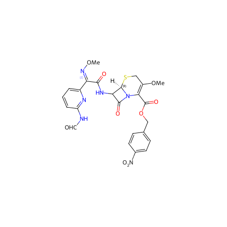 CO/N=C(\C(=O)NC1C(=O)N2C(C(=O)OCc3ccc([N+](=O)[O-])cc3)=C(OC)CS[C@H]12)c1cccc(NC=O)n1